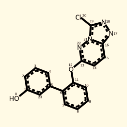 Oc1cccc(-c2ccccc2Oc2ccc3nnc(Cl)n3n2)c1